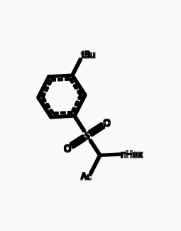 CCCCCCC(C(C)=O)S(=O)(=O)c1cccc(C(C)(C)C)c1